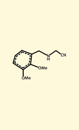 COc1cccc(CNCC#N)c1OC